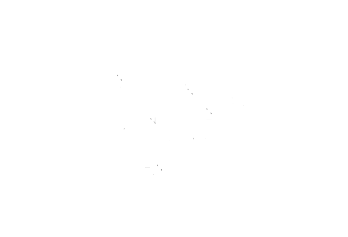 NC(=O)N1CCNCC1N1C=CSN1